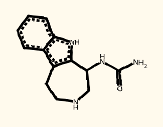 NC(=O)NC1CNCCc2c1[nH]c1ccccc21